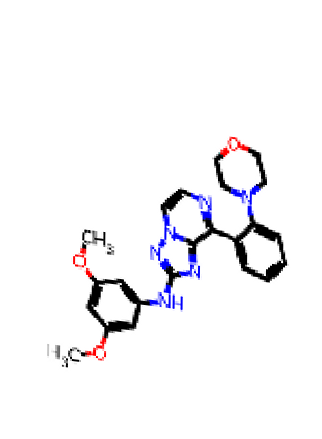 COc1cc(Nc2nc3c(-c4ccccc4N4CCOCC4)nccn3n2)cc(OC)c1